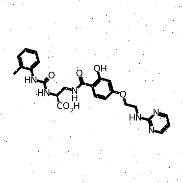 Cc1ccccc1NC(=O)N[C@@H](CNC(=O)c1ccc(OCCNc2ncccn2)cc1O)C(=O)O